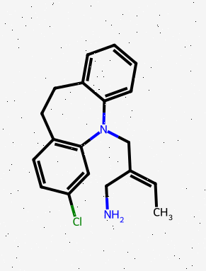 C/C=C(\CN)CN1c2ccccc2CCc2ccc(Cl)cc21